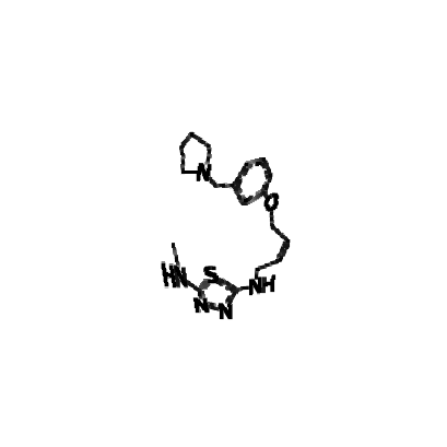 CNc1nnc(NC/C=C\COc2cccc(CN3CCCC3)c2)s1